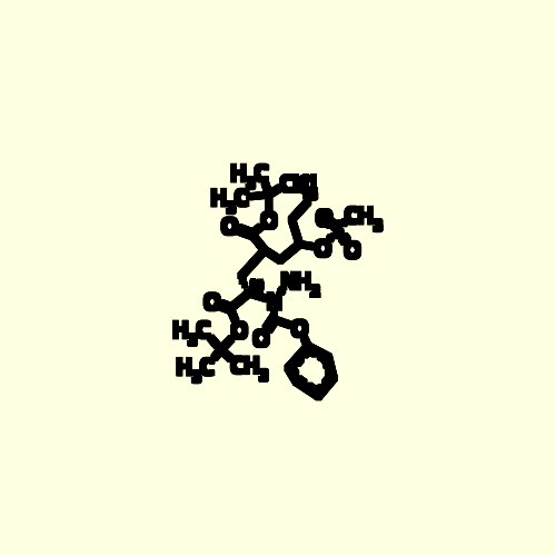 CC(C)(C)OC(=O)C(CC(CCCl)OS(C)(=O)=O)C[C@@H](C(=O)OC(C)(C)C)N(N)C(=O)Oc1ccccc1